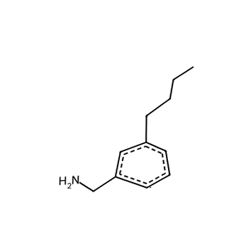 CCCCc1cc[c]c(CN)c1